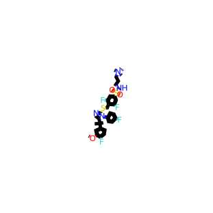 COc1cc(C(C)(C)c2cnc(SCc3c(F)cc(S(=O)(=O)NCCC[N+](C)(C)C)cc3F)n2-c2ccc(F)cc2)ccc1F